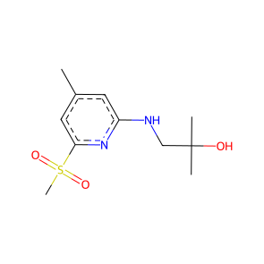 Cc1cc(NCC(C)(C)O)nc(S(C)(=O)=O)c1